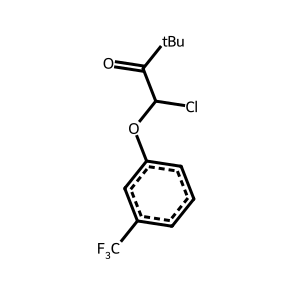 CC(C)(C)C(=O)C(Cl)Oc1cccc(C(F)(F)F)c1